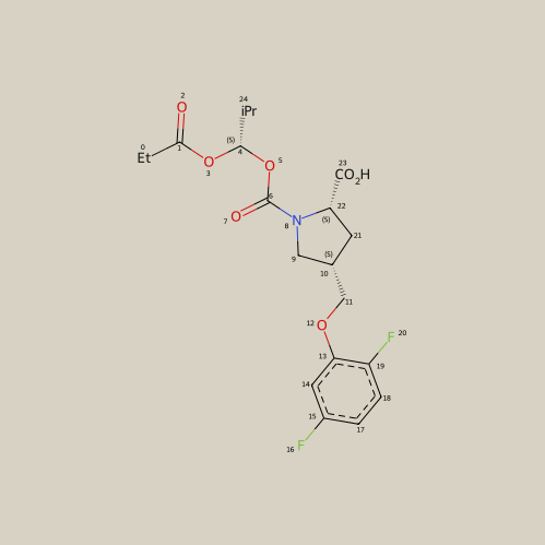 CCC(=O)O[C@@H](OC(=O)N1C[C@@H](COc2cc(F)ccc2F)C[C@H]1C(=O)O)C(C)C